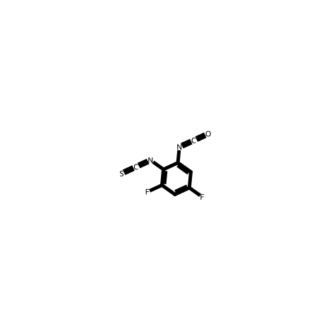 O=C=Nc1cc(F)cc(F)c1N=C=S